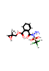 CC1(COC(=O)C2=C(C(=O)N(N)S(=O)(=O)C(F)(F)F)C=CCC2)CO1